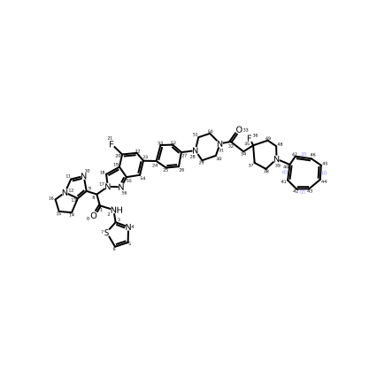 O=C(Nc1nccs1)C(c1ncn2c1CCC2)n1cc2c(F)cc(-c3ccc(N4CCN(C(=O)CC5(F)CCN(C6=C/C=C\C=C/C=C\6)CC5)CC4)cc3)cc2n1